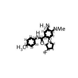 CNc1cc(N2CC[C@@H](F)C2)c(C(=O)Nc2ccc(C)cc2)cc1N